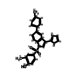 Cc1cc(S(=O)(=O)n2cc(-c3nccs3)c3cc(-c4ccc(C(F)(F)F)cc4)ccc32)ccc1O